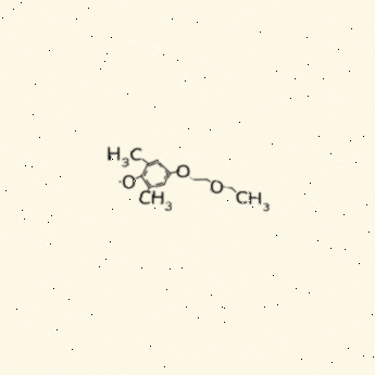 CCOCCOc1cc(C)c([O])c(C)c1